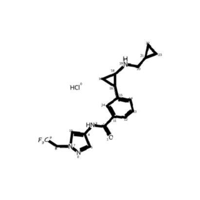 Cl.O=C(Nc1cnn(CC(F)(F)F)c1)c1cccc(C2CC2NCC2CC2)c1